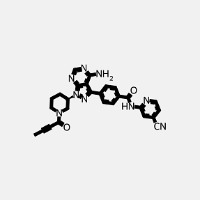 CC#CC(=O)N1CCC[C@@H](n2nc(-c3ccc(C(=O)Nc4cc(C#N)ccn4)cc3)c3c(N)ncnc32)C1